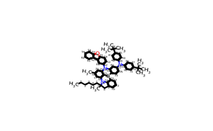 CCCCCCC1(C)Cc2cccc3c2N1c1cc(C)cc2c1B3c1ccc(N(c3ccc(C(C)(C)C)cc3)c3ccc(C(C)(C)C)cc3)cc1N2c1ccc2oc3ccccc3c2c1